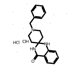 Cl.Cl.O=C1NC2(CCN(Cc3ccccc3)CC2)Nc2ccccc21